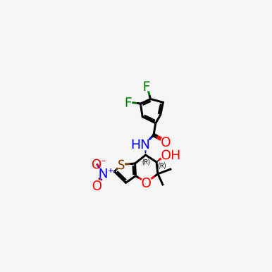 CC1(C)Oc2cc([N+](=O)[O-])sc2[C@H](NC(=O)c2ccc(F)c(F)c2)[C@H]1O